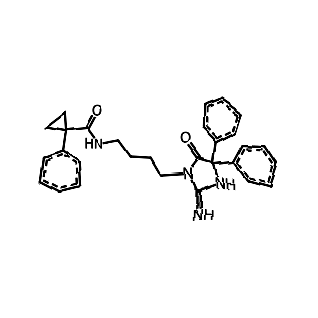 N=C1NC(c2ccccc2)(c2ccccc2)C(=O)N1CCCCNC(=O)C1(c2ccccc2)CC1